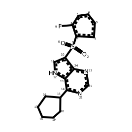 O=S(=O)(c1ccccc1F)c1c[nH]c2c(C3CCCCC3)ncnc12